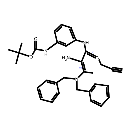 C#CC/N=C(Nc1cccc(NC(=O)OC(C)(C)C)c1)\C(N)=C(/C)N(Cc1ccccc1)Cc1ccccc1